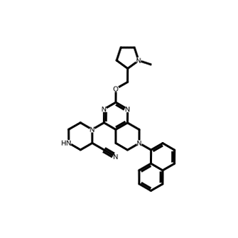 CN1CCCC1COc1nc2c(c(N3CCNCC3C#N)n1)CCN(c1cccc3ccccc13)C2